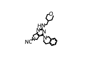 N#CN1Cc2nc(NCC3CCOCC3)nc(N3CCc4ccccc4C3)c2C1